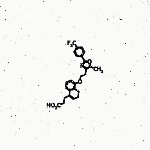 Cc1oc(-c2ccc(C(F)(F)F)cc2)nc1CCOc1cccc2c1CCC=C2CCC(=O)O